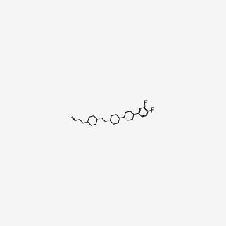 C=CCC[C@H]1CC[C@H](CC[C@H]2CC[C@H]([C@H]3CC[C@H](c4ccc(F)c(F)c4)CC3)CC2)CC1